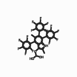 Cc1[nH]c2c(-c3c(F)c(F)c(F)c(F)c3F)c(-c3c(F)c(F)c(F)c(F)c3F)c(C)c(-c3c(F)c(F)c(F)c(F)c3F)c2c1OB(O)O